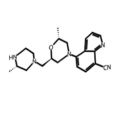 C[C@@H]1CN(c2ccc(C#N)c3ncccc23)C[C@@H](CN2CCN[C@@H](C)C2)O1